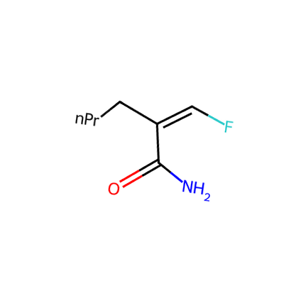 CCCCC(=CF)C(N)=O